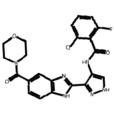 O=C(Nc1c[nH]nc1-c1nc2cc(C(=O)N3CCOCC3)ccc2[nH]1)c1c(F)cccc1Cl